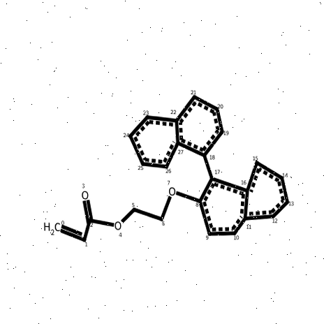 C=CC(=O)OCCOc1ccc2ccccc2c1-c1cccc2ccccc12